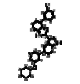 Fc1cccc(-c2ccnc3[nH]c(-c4n[nH]c5ccc(-c6cncc(OC7CCCCC7)c6)cc45)nc23)c1